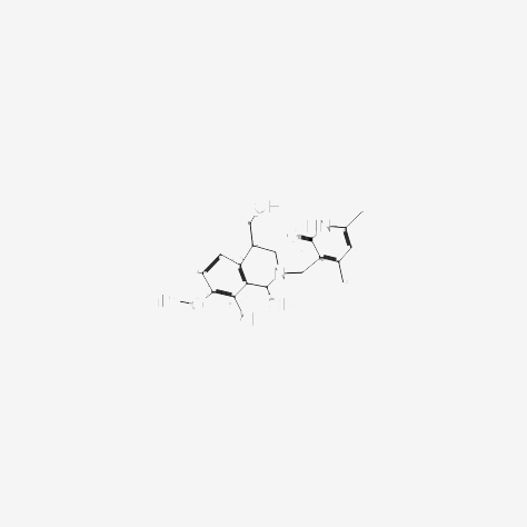 Cc1cc(C)c(CN2CC(CO)c3ccc(OC(C)C)c(Cl)c3C2O)c(=O)[nH]1